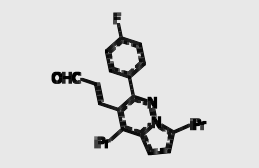 CC(C)c1c(/C=C/C=O)c(-c2ccc(F)cc2)nn2c(C(C)C)ccc12